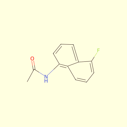 CC(=O)Nc1cccc2c(F)cccc12